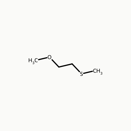 COCCSC